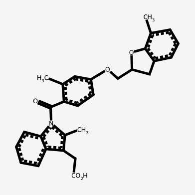 Cc1cc(OCC2Cc3cccc(C)c3O2)ccc1C(=O)n1c(C)c(CC(=O)O)c2ccccc21